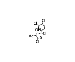 CC(=O)C1=C(Cl)SC(Cl)(c2ccc(Cl)c(Cl)c2)C1O